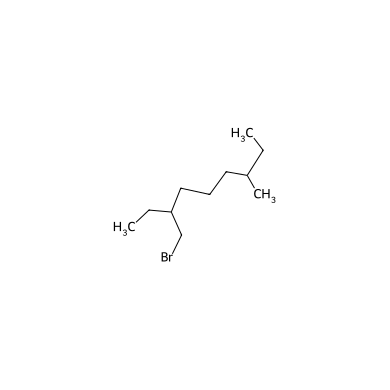 CCC(C)CCCC(CC)CBr